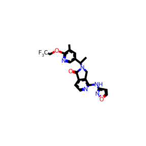 Cc1cc(C(C)N2Cc3c(ccnc3Nc3ccon3)C2=O)cnc1OCC(F)(F)F